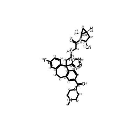 CN1CCN(C(=O)c2ccc3c(c2)CCc2cc(F)ccc2C3(CCNCC(=O)N2[C@H](C#N)C[C@@H]3C[C@@H]32)c2nnn[nH]2)CC1